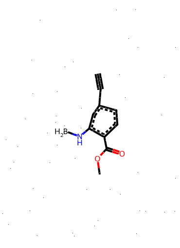 BNc1cc(C#C)ccc1C(=O)OC